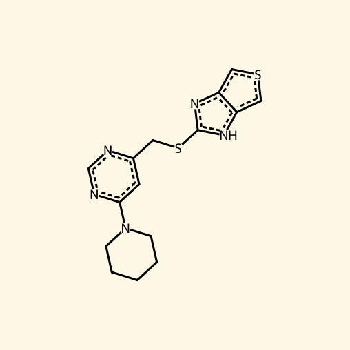 c1nc(CSc2nc3cscc3[nH]2)cc(N2CCCCC2)n1